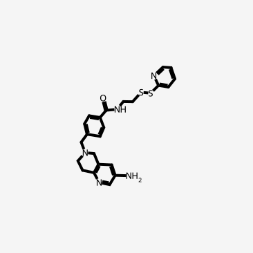 Nc1cnc2c(c1)CN(Cc1ccc(C(=O)NCCSSc3ccccn3)cc1)CC2